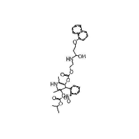 CC1=C(OC(=O)OCCNC(O)CCOc2cccc3ccccc23)C(c2ccccc2[N+](=O)[O-])C(OC(=O)OC(C)C)=C(C)N1